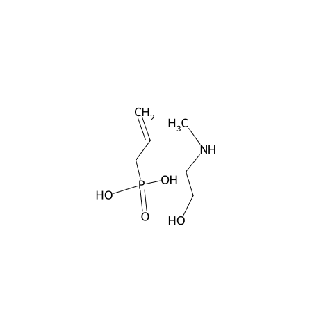 C=CCP(=O)(O)O.CNCCO